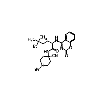 CCCN1CCC(C#N)(NC(=O)C(CCC(C)(C)CC)Nc2nc(=O)oc3ccccc23)CC1